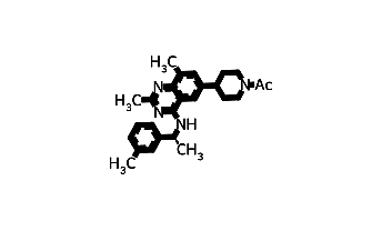 CC(=O)N1CCC(c2cc(C)c3nc(C)nc(N[C@H](C)c4cccc(C)c4)c3c2)CC1